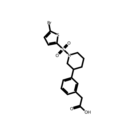 O=C(O)Cc1cccc(C2CCCN(S(=O)(=O)c3ccc(Br)s3)C2)c1